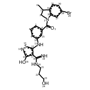 CC1CN(C(=O)c2cccc(Nc3snc(O)c3C(=N)NCCCO)c2)c2cc(Br)ccc21